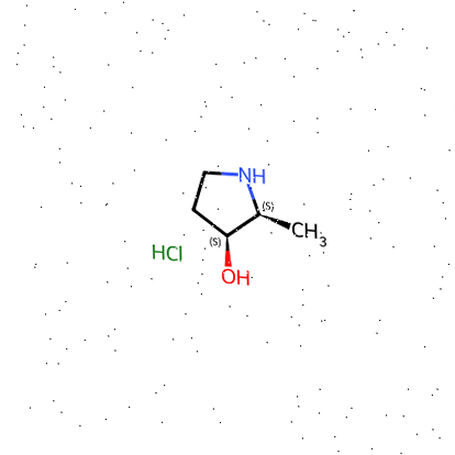 C[C@@H]1NCC[C@@H]1O.Cl